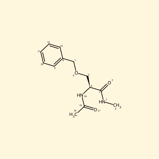 CNC(=O)[C@H](COCc1ccccc1)NC(C)=O